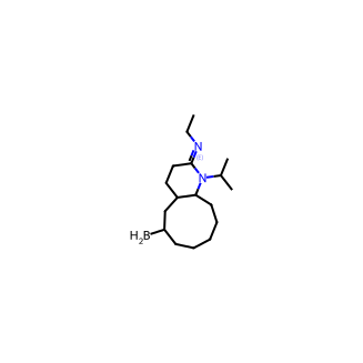 BC1CCCCCC2C(CC/C(=N\CC)N2C(C)C)C1